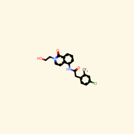 O=C(Cc1ccc(Cl)cc1C(F)(F)F)Nc1cccc2c(=O)n(CCO)ccc12